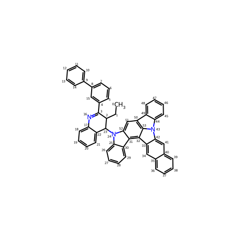 CCC1C(c2cccc(-c3ccccc3)c2)=Nc2ccccc2C1n1c2ccccc2c2c3c4cc5ccccc5cc4n4c5ccccc5c(cc21)c34